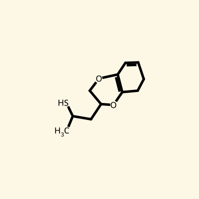 CC(S)CC1COC2=C(CCC=C2)O1